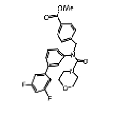 COC(=O)c1ccc(CN(C(=O)N2CCOCC2)c2cccc(-c3cc(F)cc(F)c3)c2)cc1